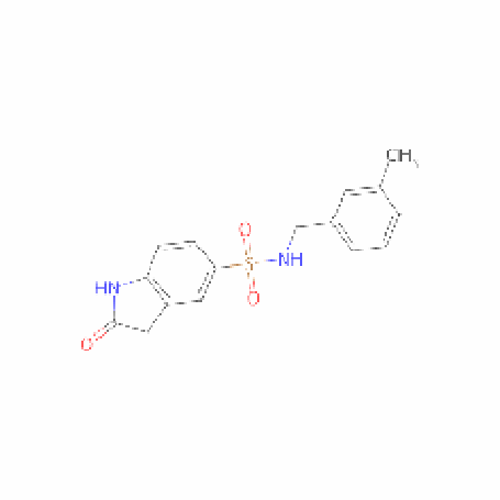 Cc1cccc(CNS(=O)(=O)c2ccc3c(c2)CC(=O)N3)c1